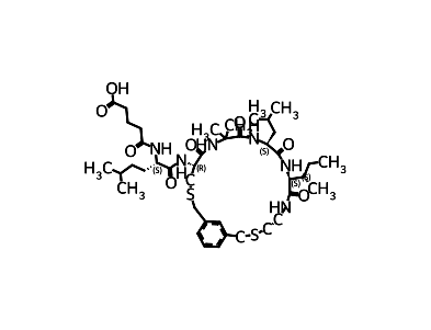 CC[C@H](C)[C@@H]1NC(=O)[C@H](CC(C)C)NC(=O)C(C)(C)NC(=O)[C@@H](NC(=O)[C@H](CCC(C)C)NC(=O)CCCC(=O)O)CSCc2cccc(c2)CSCCNC1=O